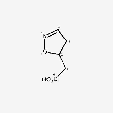 O=C(O)CC1CC=NO1